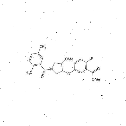 COC(=O)c1cc(OC2CN(C(=O)c3cc(C)ccc3C)CC2OC)ccc1F